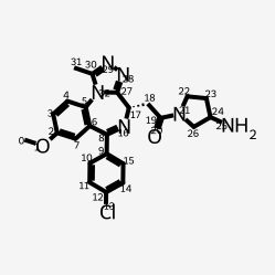 COc1ccc2c(c1)C(c1ccc(Cl)cc1)=N[C@@H](CC(=O)N1CCC(N)C1)c1nnc(C)n1-2